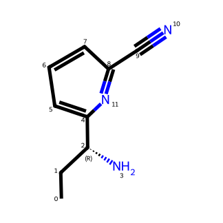 CC[C@@H](N)c1cccc(C#N)n1